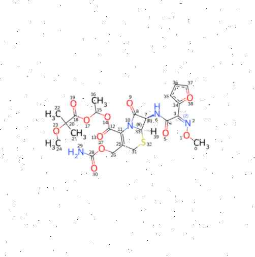 CO/N=C(\C(=O)N[C@@H]1C(=O)N2C(C(=O)OC(C)OC(=O)C(C)(C)OC)=C(COC(N)=O)CS[C@H]12)c1ccco1